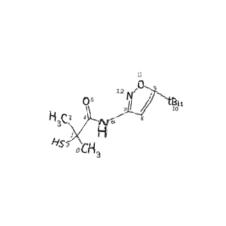 CC(C)(S)C(=O)Nc1cc(C(C)(C)C)on1